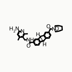 Cc1cc(N)nc(C)c1CNC(=O)c1ccc2c(c1)[C@@H]1O[C@H]2c2ccc(C(=O)N3CC4CCC(C3)O4)cc21